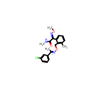 CNC(=O)/C(=N/OC)c1cccc(C)c1CO/N=C(\C)c1cccc(Cl)c1